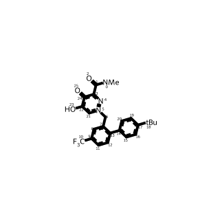 CNC(=O)c1nn(Cc2cc(C(F)(F)F)ccc2-c2ccc(C(C)(C)C)cc2)cc(O)c1=O